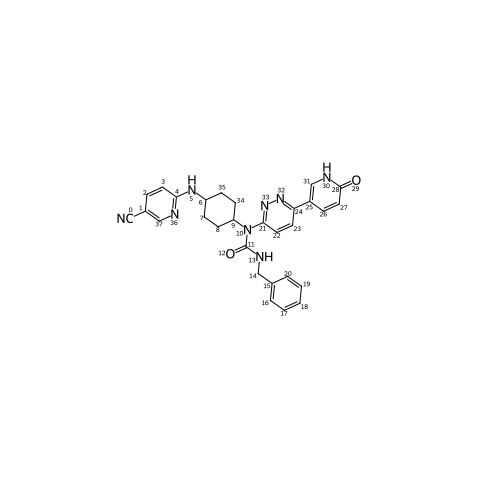 N#Cc1ccc(NC2CCC(N(C(=O)NCc3ccccc3)c3ccc(-c4ccc(=O)[nH]c4)nn3)CC2)nc1